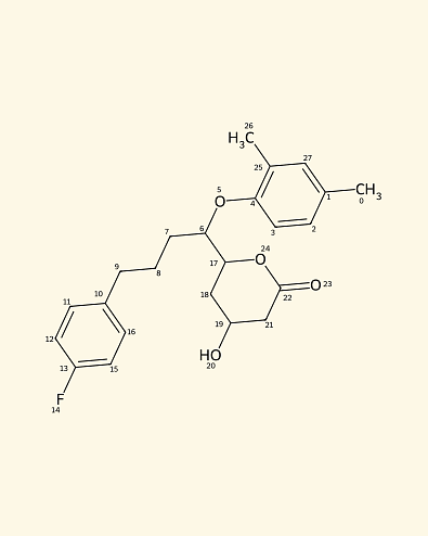 Cc1ccc(OC(CCCc2ccc(F)cc2)C2CC(O)CC(=O)O2)c(C)c1